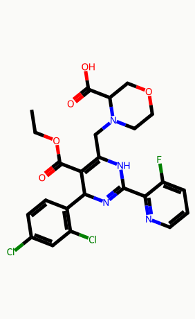 CCOC(=O)C1=C(CN2CCOCC2C(=O)O)NC(c2ncccc2F)=NC1c1ccc(Cl)cc1Cl